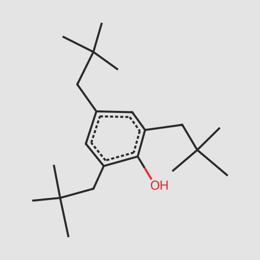 CC(C)(C)Cc1cc(CC(C)(C)C)c(O)c(CC(C)(C)C)c1